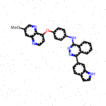 COc1cnc2c(Oc3ccc(Nc4nnc(-c5ccc6cc[nH]c6c5)c5ccccc45)cc3)ccnc2c1